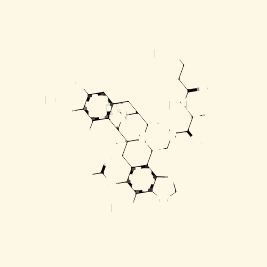 CCCC(=O)N[C@@H](C)C(=O)NC[C@H]1c2c(c(OC(C)=O)c(C)c3c2OCO3)C[C@H]2C3c4c(cc(C)c(OC)c4O)CC([C@H](O)N12)N3C